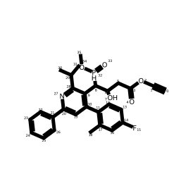 C#COC(=O)CC(O)C(c1c(-c2ccc(F)cc2C)cc(-c2ccccc2)nc1C(C)C)[PH](=O)OC